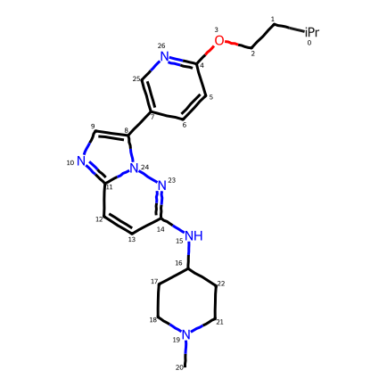 CC(C)CCOc1ccc(-c2cnc3ccc(NC4CCN(C)CC4)nn23)cn1